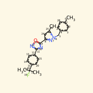 Cc1ccc(Cn2nc(-c3nc(-c4ccc(C(C)(C)F)cc4)no3)cc2C)cc1